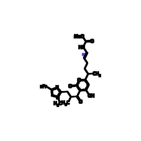 CCCc1cn(C)c(CC(C)C(=O)c2c(O)cc(C(C)CC/C=C/NC(=O)OC)oc2=O)n1